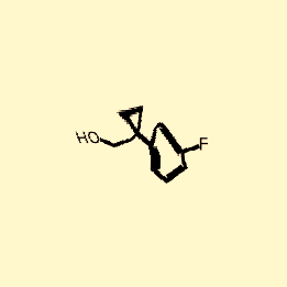 OCC1(c2cccc(F)c2)CC1